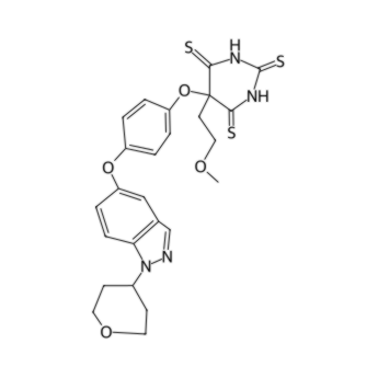 COCCC1(Oc2ccc(Oc3ccc4c(cnn4C4CCOCC4)c3)cc2)C(=S)NC(=S)NC1=S